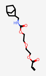 C=CC(=O)OCCOCCOC(=O)NCC1CC2CCC1C2